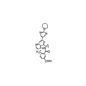 COc1ccc(C)c(C(=O)NC2(c3cc(-c4cnc(N5CCCCC5)nc4)cc4ncccc34)CC2)c1